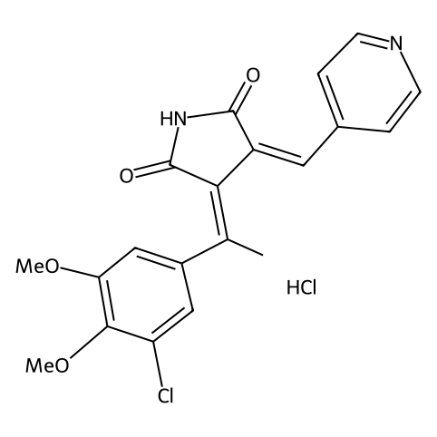 COc1cc(C(C)=C2C(=O)NC(=O)C2=Cc2ccncc2)cc(Cl)c1OC.Cl